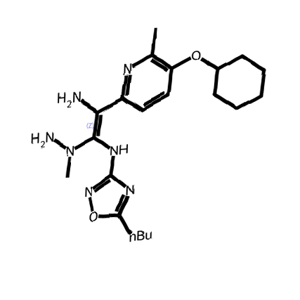 CCCCc1nc(N/C(=C(/N)c2ccc(OC3CCCCC3)c(C)n2)N(C)N)no1